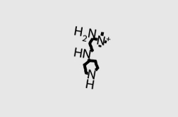 C[N+](C)(C)C(N)CCNC1CCNCC1